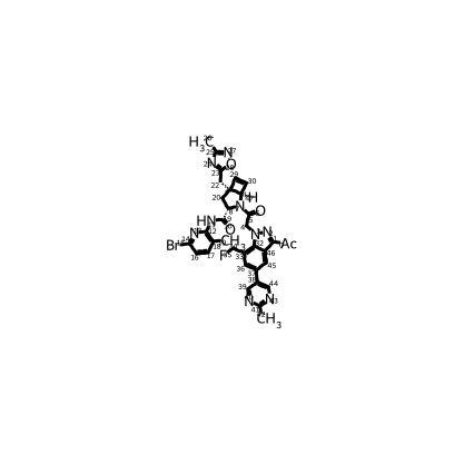 CC(=O)c1nn(CC(=O)N2[C@H](C(=O)Nc3nc(Br)ccc3C)C[C@@]3(Cc4nc(C)no4)C=C[C@@H]23)c2c(CF)cc(-c3cnc(C)nc3)cc12